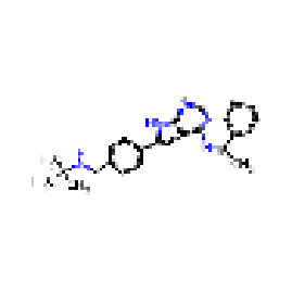 C[C@@H](Nc1ncnc2[nH]c(-c3ccc(CNC(C)(C)C)cc3)cc12)c1ccccc1